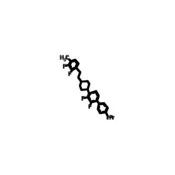 CCCc1ccc(-c2ccc(C3CCC(CCc4ccc(C)c(F)c4F)CC3)c(F)c2F)cc1